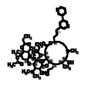 CCC(=O)O[C@@H]1CC(=O)O[C@@H](C/C=C/c2cncc(-c3cccnc3)c2)CCCN(C)C[C@H](O)[C@H](C)C[C@H](CC=O)[C@H](O[C@@H]2OC(C)[C@@H](O[C@H]3CC(C)(OC(C)=O)[C@@H](OC(=O)CC)C(C)O3)C(N(C)C)C2O)[C@H]1OC